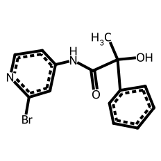 CC(O)(C(=O)Nc1ccnc(Br)c1)c1ccccc1